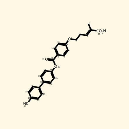 CC(=CCCOc1ccc(C(=O)Oc2ccc(-c3ccc(C#N)cc3)cc2)cc1)C(=O)O